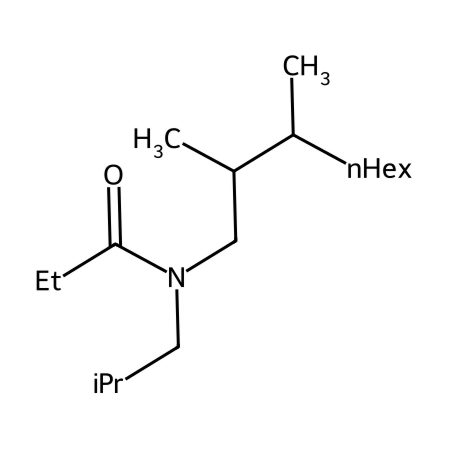 CCCCCCC(C)C(C)CN(CC(C)C)C(=O)CC